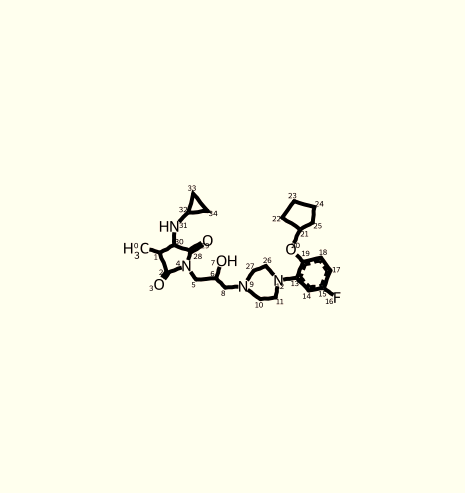 CC1C(=O)N(CC(O)CN2CCN(c3cc(F)ccc3OC3CCCC3)CC2)C(=O)C1NC1CC1